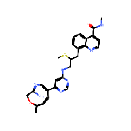 CNC(=O)c1ccnc2c(CC(CNc3cc(C4=C/N=C(\N)COC(C)/C=C\4)ncn3)SC)cccc12